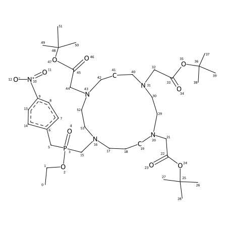 CCOP(=O)(Cc1ccc([N+](=O)[O-])cc1)CN1CCCN(CC(=O)OC(C)(C)C)CCN(CC(=O)OC(C)(C)C)CCCN(CC(=O)OC(C)(C)C)CC1